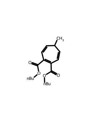 CCCCOC(=O)C1=C(C(=O)OCCCC)C=CC(C)C=C1